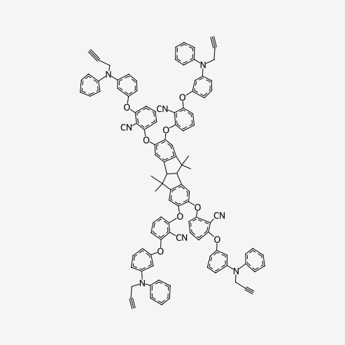 [C-]#[N+]c1c(Oc2cccc(N(CC#C)c3ccccc3)c2)cccc1Oc1cc2c(cc1Oc1cccc(Oc3cccc(N(CC#C)c4ccccc4)c3)c1[N+]#[C-])C(C)(C)C1c3cc(Oc4cccc(Oc5cccc(N(CC#C)c6ccccc6)c5)c4C#N)c(Oc4cccc(Oc5cccc(N(CC#C)c6ccccc6)c5)c4C#N)cc3C(C)(C)C21